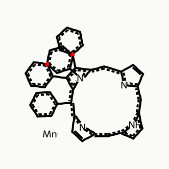 C1=Cc2cc3c(-c4ccccc4)c(-c4ccccc4)c(c(-c4ccccc4)c4nc(cc5ccc(cc1n2)[nH]5)C=C4)n3-c1ccccc1.[Mn]